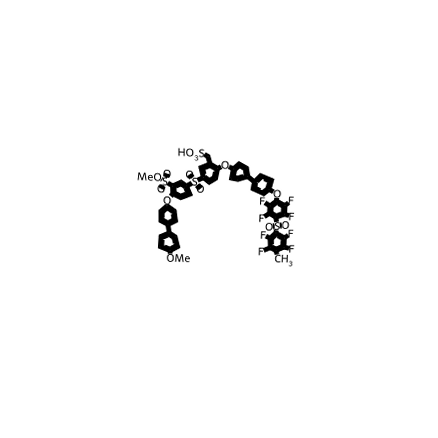 COc1ccc(-c2ccc(Oc3ccc(S(=O)(=O)c4ccc(Oc5ccc(-c6ccc(Oc7c(F)c(F)c(S(=O)(=O)c8c(F)c(F)c(C)c(F)c8F)c(F)c7F)cc6)cc5)c(CS(=O)(=O)O)c4)cc3S(=O)(=O)OC)cc2)cc1